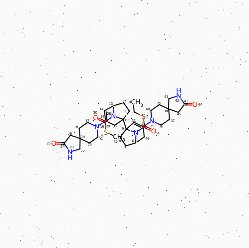 CCSC(=O)N1C2CCC1(C13CCC(C=C(N4CCC5(CC4)CNC(=O)C5)C1)N3C(=O)SC)C=C(N1CCC3(CC1)CNC(=O)C3)C2